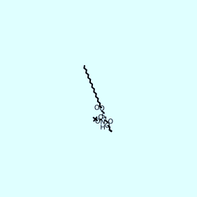 C=CCOC(=O)[C@H](CSCCOC(=O)CCCCCCCCCCCCCCCCC)NC(=O)OC(C)(C)C